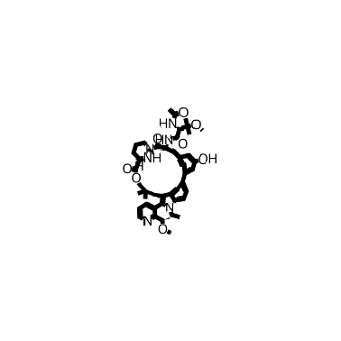 CCn1c(-c2cccnc2[C@H](C)OC)c2c3cc(ccc31)-c1cc(O)cc(c1)C[C@H](NC(=O)[C@@H](NC(C)=O)C(C)(C)OC)C(=O)N1CCC[C@H](N1)C(=O)OCC(C)(C)C2